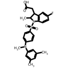 Cc1cc(C)cc(N(C)c2ccc(S(=O)(=O)N3c4ccc(F)cc4C(CC(=O)O)C3C)cc2)c1